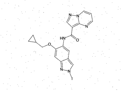 O=C(Nc1cc2cn(I)nc2cc1OCC1CC1)c1cnn2cccnc12